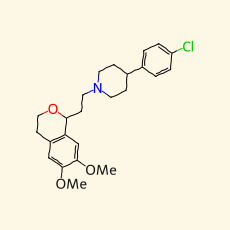 COc1cc2c(cc1OC)C(CCN1CCC(c3ccc(Cl)cc3)CC1)OCC2